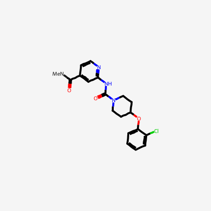 CNC(=O)c1ccnc(NC(=O)N2CCC(Oc3ccccc3Cl)CC2)c1